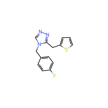 Fc1ccc(Cn2cnnc2Cc2cccs2)cc1